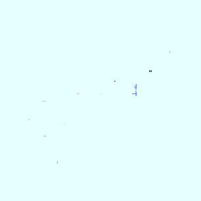 [CH2]C12CC(NC(=O)COc3ccc(Cl)c(Cl)c3)(C1)C2